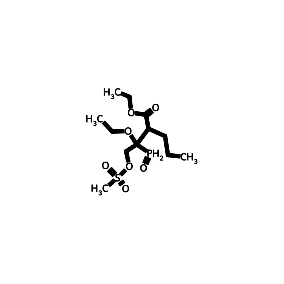 CCCC(C(=O)OCC)C(COS(C)(=O)=O)(OCC)[PH2]=O